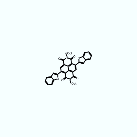 CCCCCCCCN1C(=O)c2cc(-c3cc4ccccc4o3)c3c4c(cc(-c5cc6ccccc6o5)c(c24)C1=O)C(=O)N(CCCCCCCC)C3=O